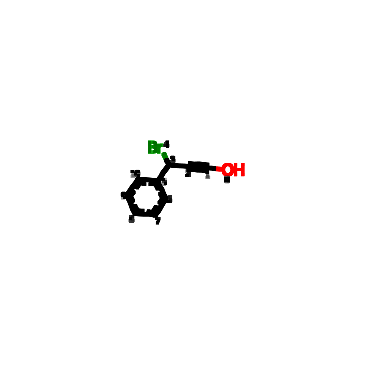 OC#CC(Br)c1ccccc1